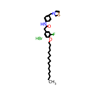 Br.CCCCCCCCCCCCCCCCOc1ccc(CC(=O)Nc2ccc(CN3C=CSC3)cc2)cc1F